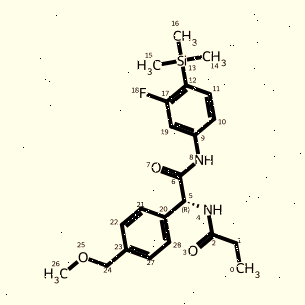 CCC(=O)N[C@@H](C(=O)Nc1ccc([Si](C)(C)C)c(F)c1)c1ccc(COC)cc1